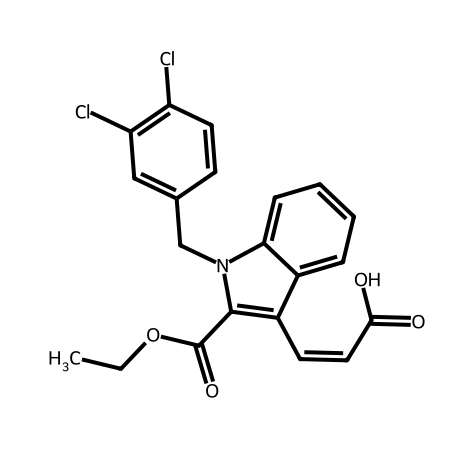 CCOC(=O)c1c(/C=C\C(=O)O)c2ccccc2n1Cc1ccc(Cl)c(Cl)c1